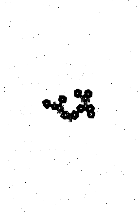 C1=Cc2c(ccc3c2c2cc(-c4ccc5sc6ccc(-c7nc(-c8ccccc8)c8sc(-c9ccccc9)cc8n7)cc6c5c4)ccc2n3-c2nc(-c3ccccc3)c3ccccc3n2)CC1